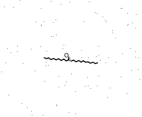 CCCCCCCCCCCC[C@@H](C=O)CCCCCCCCCC